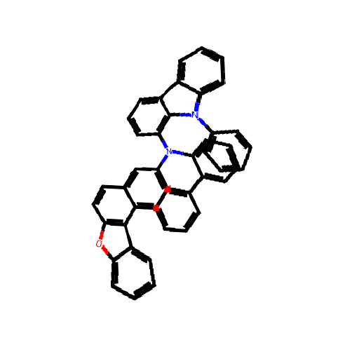 c1ccc(-c2ccccc2N(c2ccc3c(ccc4oc5ccccc5c43)c2)c2cccc3c4ccccc4n(-c4ccccc4)c23)cc1